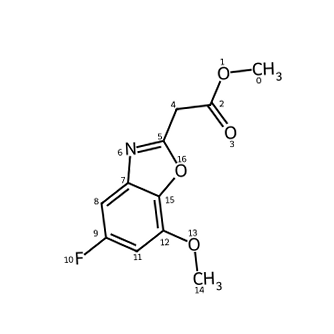 COC(=O)Cc1nc2cc(F)cc(OC)c2o1